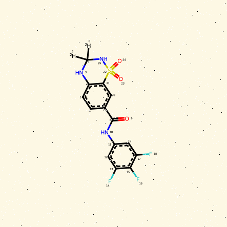 [2H]C1([2H])Nc2ccc(C(=O)Nc3cc(F)c(F)c(F)c3)cc2S(=O)(=O)N1